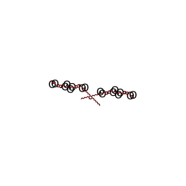 C=CC(=O)OCC1CC2C3CC(COC(=O)/C=C/C(=O)OCC4CC5C6CC(COC(=O)CCCCCCC7C(CCCCCC)CCC(CCCCCCCC)C7CCCCCCC(=O)OCC7CC8CC7C7CC(COC(=O)/C=C/C(=O)OCC9CC%10CC9C9CC(COC(=O)C(=C)C)CC%109)CC87)C(C6)C5C4)C(C3)C2C1